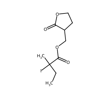 CCC(C)(I)C(=O)OCC1CCOC1=O